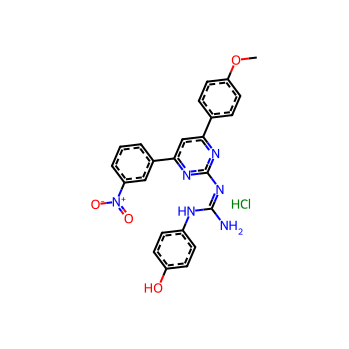 COc1ccc(-c2cc(-c3cccc([N+](=O)[O-])c3)nc(N=C(N)Nc3ccc(O)cc3)n2)cc1.Cl